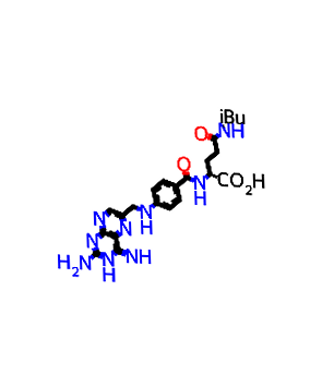 CC[C@@H](C)NC(=O)CC[C@H](NC(=O)c1ccc(NCc2cnc3nc(N)[nH]c(=N)c3n2)cc1)C(=O)O